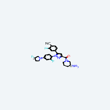 N#Cc1ccc(-c2cc(C(=O)N3CCC[C@@H](N)C3)nn2-c2ccc(N3CC[C@@H](F)C3)cc2F)cc1F